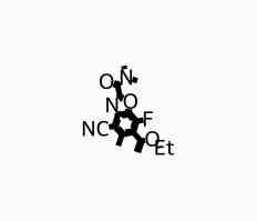 C=C(OCC)c1c(C)c(C#N)c2nc(C(=O)N(C)C)oc2c1F